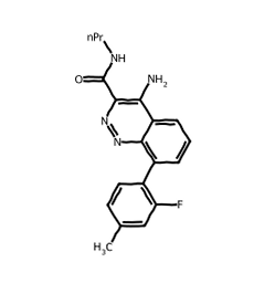 CCCNC(=O)c1nnc2c(-c3ccc(C)cc3F)cccc2c1N